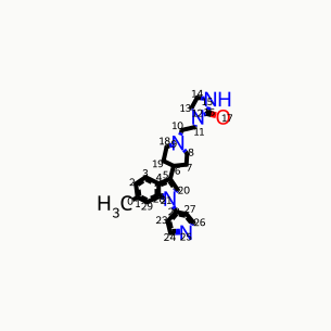 Cc1ccc2c(C3CCN(CCN4CCNC4=O)CC3)cn(-c3ccncc3)c2c1